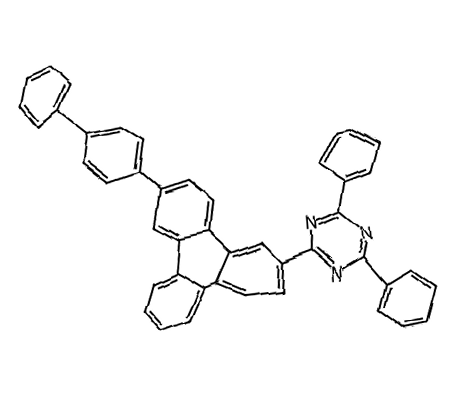 c1ccc(-c2ccc(-c3ccc4c(c3)c3ccccc3c3ccc(-c5nc(-c6ccccc6)nc(-c6ccccc6)n5)cc34)cc2)cc1